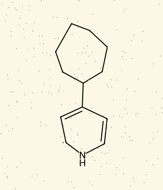 [CH]1C=C(C2CCCCCC2)C=CN1